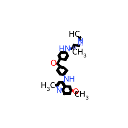 C#C/N=C\C=C(/C)Nc1ccc(C(=O)c2ccc(Nc3cc(C)nc4ccc(OC)cc34)cc2)cc1